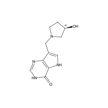 O=c1[nH]cnc2c(CN3CC[C@@H](O)C3)c[nH]c12